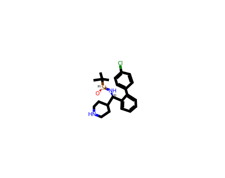 CC(C)(C)[S@+]([O-])N[C@@H](c1ccccc1-c1ccc(Cl)cc1)C1CCNCC1